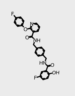 O=C(NCc1ccc(CNC(=O)c2cccnc2Oc2ccc(F)cc2)cc1)c1cc(F)ccc1O